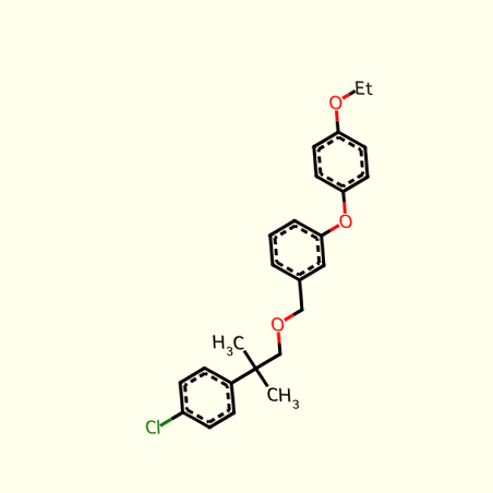 CCOc1ccc(Oc2cccc(COCC(C)(C)c3ccc(Cl)cc3)c2)cc1